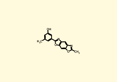 Cc1cc(O)cc(-c2nc3cc4nc(C)oc4cc3o2)c1